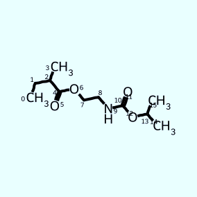 CCC(C)C(=O)OCCNC(=O)OC(C)C